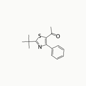 CC(=O)c1sc(C(C)(C)C)nc1-c1ccccc1